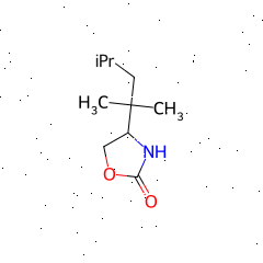 CC(C)CC(C)(C)C1COC(=O)N1